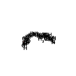 CC1(C)[C@H](NC(=O)c2ccn(C3CCN(CC4CCN(c5ccc6c(c5)C(=O)N(C5CCC(=O)NC5=O)C6=O)CC4)CC3)n2)C(C)(C)[C@H]1Oc1ccc(C#N)c(Cl)c1